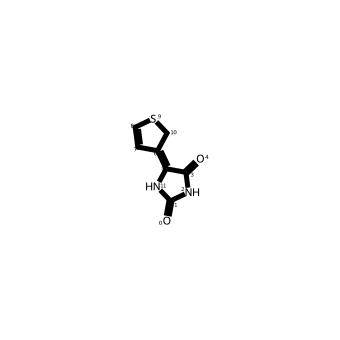 O=C1NC(=O)C(=C2C=CSC2)N1